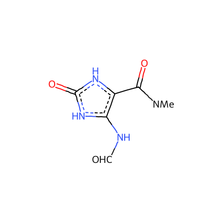 CNC(=O)c1[nH]c(=O)[nH]c1NC=O